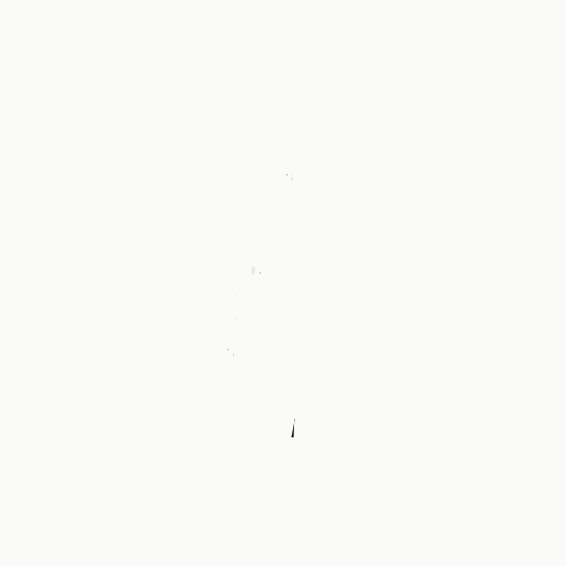 C[C@H]1CC(=O)N2CCC[C@H]2C(=O)N[C@H](C(=O)C(=O)NC2CC2)CCCCCCCO1